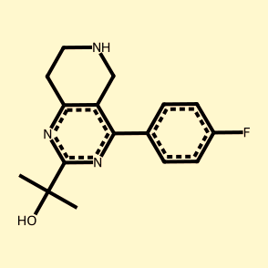 CC(C)(O)c1nc2c(c(-c3ccc(F)cc3)n1)CNCC2